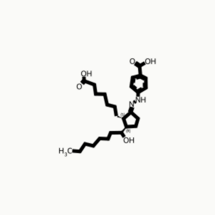 CCCCCCCC(O)[C@@H]1CCC(=NNc2ccc(C(=O)O)cc2)[C@H]1CCCCCCC(=O)O